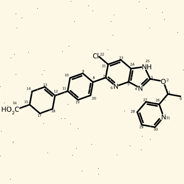 CC(Oc1nc2nc(-c3ccc(C4=CCC(C(=O)O)CC4)cc3)c(Cl)cc2[nH]1)c1ccccn1